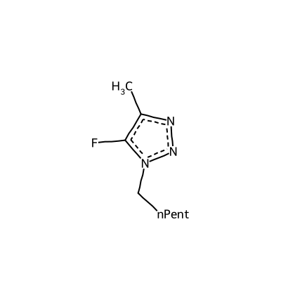 CCCCCCn1nnc(C)c1F